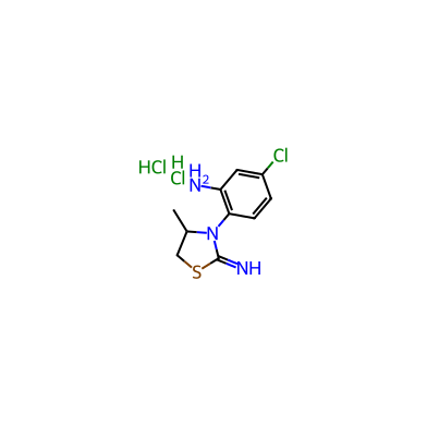 CC1CSC(=N)N1c1ccc(Cl)cc1N.Cl.Cl